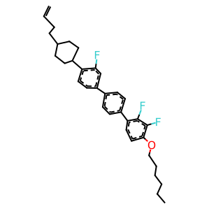 C=CCCC1CCC(c2ccc(-c3ccc(-c4ccc(OCCCCCC)c(F)c4F)cc3)cc2F)CC1